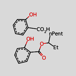 CCCCCC(CC)OC(=O)c1ccccc1O.O=C(O)c1ccccc1O